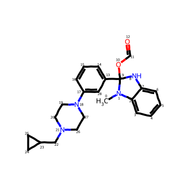 CN1c2ccccc2NC1(OC=O)c1cccc(N2CCN(CC3CC3)CC2)c1